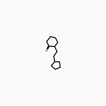 O=C1CCCCC1CCC1CCCC1